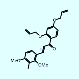 C=CCOc1ccc(C(=O)/C=C/c2ccc(OC)c(C)c2OC)c(OCC=C)c1